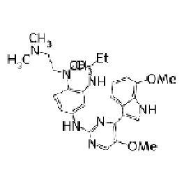 CCC(=O)Nc1cc(Nc2ncc(OC)c(-c3c[nH]c4c(OC)cccc34)n2)ccc1N(C)CCN(C)C